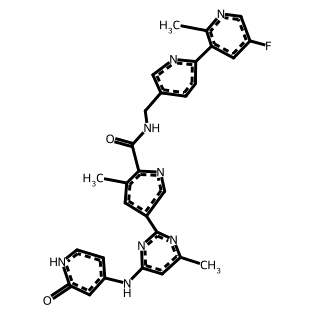 Cc1cc(Nc2cc[nH]c(=O)c2)nc(-c2cnc(C(=O)NCc3ccc(-c4cc(F)cnc4C)nc3)c(C)c2)n1